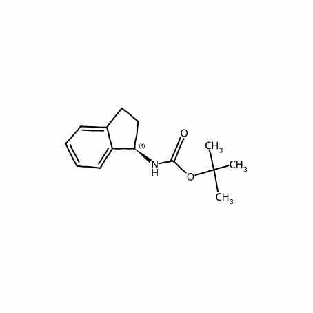 CC(C)(C)OC(=O)N[C@@H]1CCc2ccccc21